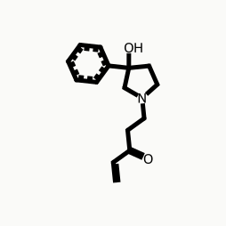 C=CC(=O)CCN1CCC(O)(c2ccccc2)C1